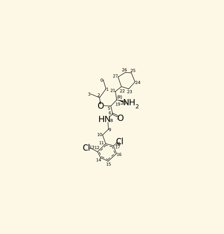 CCC(C)OC(C(=O)NCCc1c(Cl)cccc1Cl)[C@H](N)CC1CCCCC1